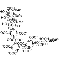 CNC[C@H](O)[C@@H](O)[C@H](O)[C@H](O)CO.CNC[C@H](O)[C@@H](O)[C@H](O)[C@H](O)CO.CNC[C@H](O)[C@@H](O)[C@H](O)[C@H](O)CO.CNC[C@H](O)[C@@H](O)[C@H](O)[C@H](O)CO.O=C([O-])CN1CCN(CC(=O)[O-])CCN(CC(=O)[O-])CCN(CC(=O)[O-])CC1.O=C([O-])CN1CCN(CC(=O)[O-])CCN(CC(=O)[O-])CCN(CC(=O)[O-])CC1.O=C([O-])CN1CCN(CC(=O)[O-])CCN(CC(=O)[O-])CCN(CC(=O)[O-])CC1.[Gd+3].[Gd+3].[Gd+3].[Gd+3]